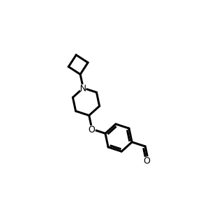 O=Cc1ccc(OC2CCN(C3CCC3)CC2)cc1